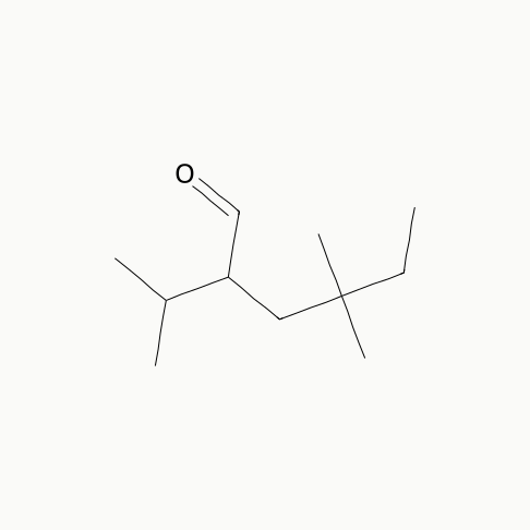 CCC(C)(C)CC(C=O)C(C)C